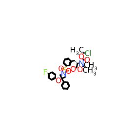 CC(Cl)OC(=O)N1[C@@H](Cc2cccc(S(=O)(=O)N3CC(Oc4ccc(F)cc4)(c4ccccc4)C3)c2)C(=O)OC1(C)C